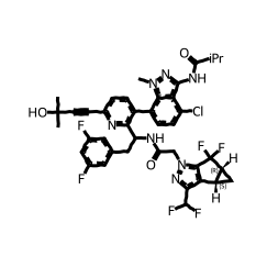 CC(C)C(=O)Nc1nn(C)c2c(-c3ccc(C#CC(C)(C)O)nc3C(Cc3cc(F)cc(F)c3)NC(=O)Cn3nc(C(F)F)c4c3C(F)(F)[C@@H]3C[C@H]43)ccc(Cl)c12